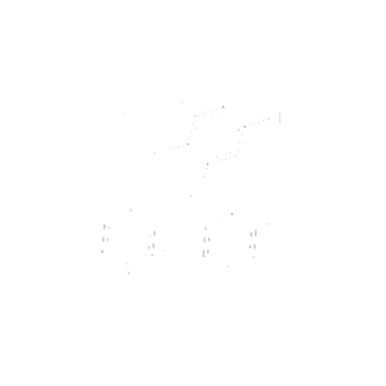 Cc1cc(C)c(OS(=O)(=O)C(F)(F)F)c(C)c1.c1ccc(Sc2ccccc2)cc1